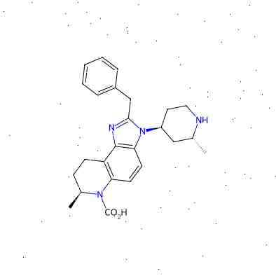 C[C@@H]1C[C@@H](n2c(Cc3ccccc3)nc3c4c(ccc32)N(C(=O)O)[C@@H](C)CC4)CCN1